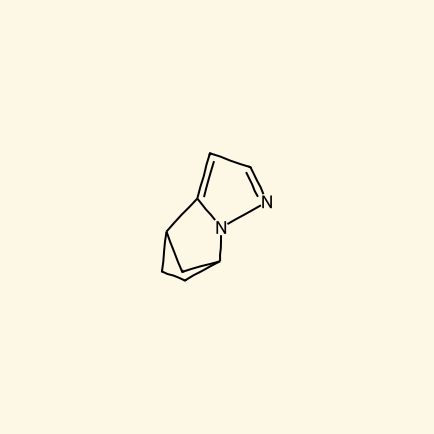 c1cc2n(n1)C1CCC2C1